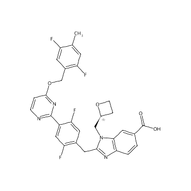 Cc1cc(F)c(COc2ccnc(-c3cc(F)c(Cc4nc5ccc(C(=O)O)cc5n4C[C@@H]4CCO4)cc3F)n2)cc1F